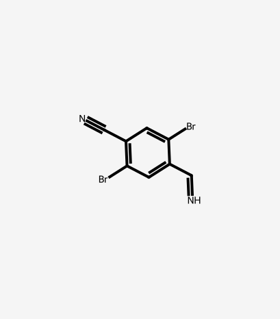 N#Cc1cc(Br)c(C=N)cc1Br